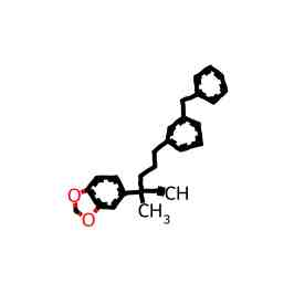 C#CC(C)(CCCc1cccc(Cc2ccccc2)c1)c1ccc2c(c1)OCO2